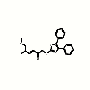 COCC(C)/C=C/C(=O)CSc1nc(-c2ccccc2)c(-c2ccccc2)o1